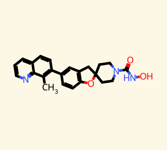 Cc1c(-c2ccc3c(c2)CC2(CCN(C(=O)NO)CC2)O3)ccc2cccnc12